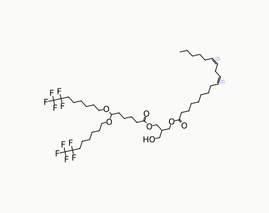 CCCCC/C=C\C/C=C\CCCCCCCC(=O)OCC(CO)COC(=O)CCCCC(OCCCCCCC(F)(F)C(F)(F)F)OCCCCCCC(F)(F)C(F)(F)F